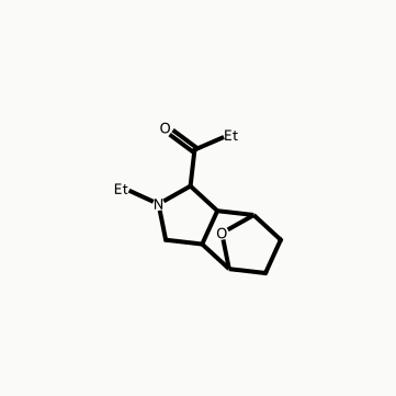 CCC(=O)C1C2C3CCC(O3)C2CN1CC